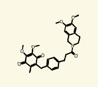 COC1=C(OC)C(=O)C(Cc2ccc(CCC(=O)N3CCc4cc(OC)c(OC)cc4C3)cc2)=C(C)C1=O